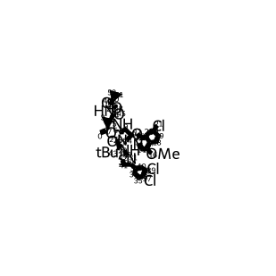 C=C[C@@H]1C[C@]1(NC(=O)[C@@H]1C[C@@H](Oc2ncc(OC)c3ccc(Cl)cc23)CN1C(=O)[C@@H](NC1=NC(c2ccc(Cl)c(Cl)c2)CS1)C(C)(C)C)C(=O)NS(=O)(=O)C1CC1